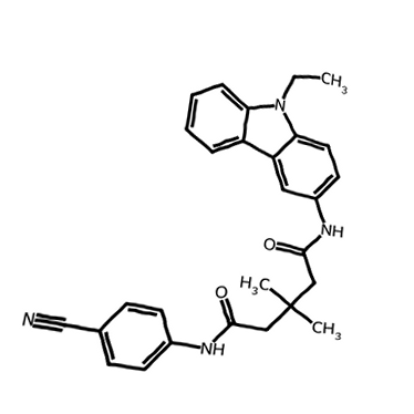 CCn1c2ccccc2c2cc(NC(=O)CC(C)(C)CC(=O)Nc3ccc(C#N)cc3)ccc21